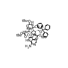 CC(C)[C@@](NC(=O)OC(C)(C)C)(C(=O)O)[C@@H]1[C@H]([C@](NC(=O)OC(C)(C)C)(C(=O)O)C(C)C)[C@@H](c2c[nH]c3c(N)ncnc23)N(C(=O)OC(C)(C)C)[C@H]1COC(c1ccccc1)(c1ccccc1)c1ccccc1